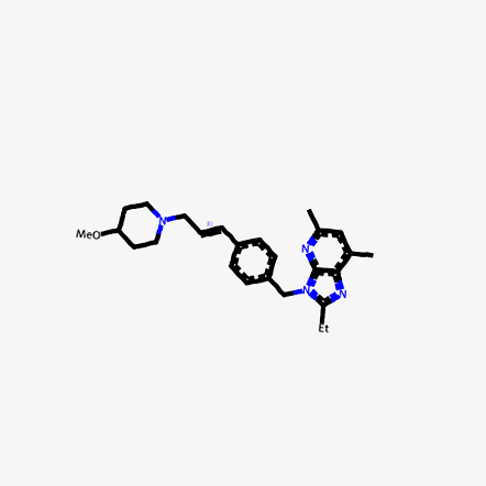 CCc1nc2c(C)cc(C)nc2n1Cc1ccc(/C=C/CN2CCC(OC)CC2)cc1